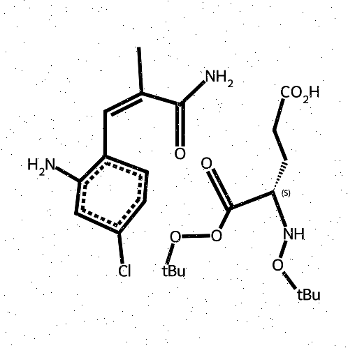 CC(=Cc1ccc(Cl)cc1N)C(N)=O.CC(C)(C)ON[C@@H](CCC(=O)O)C(=O)OOC(C)(C)C